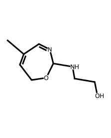 CC1=CCOC(NCCO)N=C1